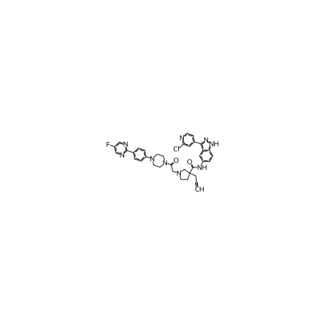 C#CCC1(C(=O)Nc2ccc3[nH]nc(-c4ccnc(Cl)c4)c3c2)CCN(CC(=O)N2CCN(c3ccc(-c4ncc(F)cn4)cc3)CC2)C1